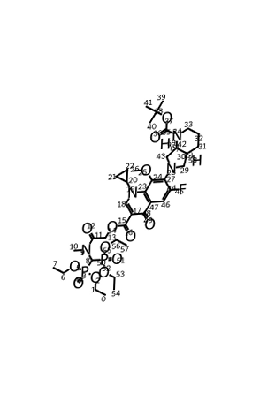 CCOP(=O)(OCC)C(N(C)C(=O)COC(=O)c1cn(C2CC2)c2c(OC)c(N3C[C@@H]4CCCN(C(=O)OC(C)(C)C)[C@@H]4C3)c(F)cc2c1=O)P(=O)(OCC)OCC